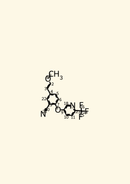 CO/C=C/c1ccc(Oc2ccc(C(F)(F)F)nc2)c(C#N)c1